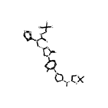 CN([C@H]1CCN(c2ccc(N3C[C@H](CN(C(=O)OCC(Cl)(Cl)Cl)c4ccon4)OC3=O)cc2F)C1)[C@@H]1COC(C)(C)O1